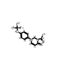 FC(F)(F)Oc1ccc(N2C=Cc3nnc(I)n3C2)cc1